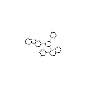 Clc1cc(-c2ccccc2)c(-c2nc(-c3ccccc3)nc(-c3ccc4c(c3)sc3ccccc34)n2)c2ccccc12